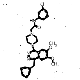 COc1cc2c(Cc3ccccc3)nnc(N3CCN(CC(=O)Nc4cccc(Cl)c4)CC3)c2cc1OC